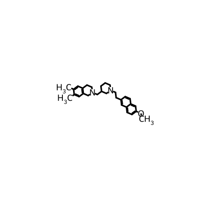 COc1ccc2cc(CCN3CCCC(CN4CCc5cc(C)c(C)cc5C4)C3)ccc2c1